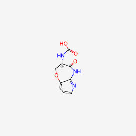 O=C(O)N[C@H]1COc2cccnc2NC1=O